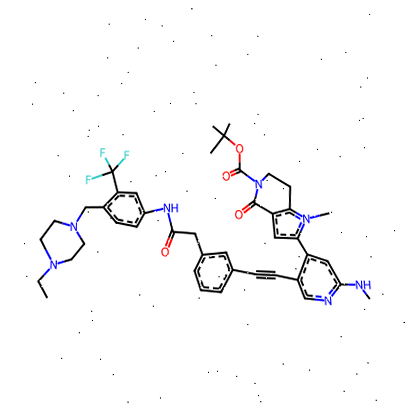 CCN1CCN(Cc2ccc(NC(=O)Cc3cccc(C#Cc4cnc(NC)cc4-c4cc5c(n4C)CCN(C(=O)OC(C)(C)C)C5=O)c3)cc2C(F)(F)F)CC1